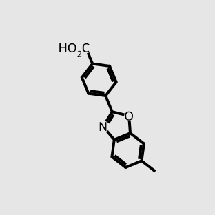 Cc1ccc2nc(-c3ccc(C(=O)O)cc3)oc2c1